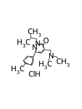 CCN(CC)Cc1cc(-c2ccc(C)cc2)nn(CC(C)C)c1=O.Cl